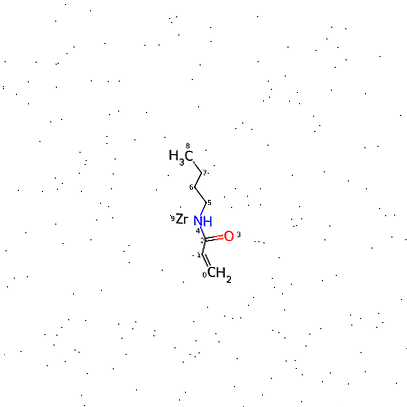 C=CC(=O)NCCCC.[Zr]